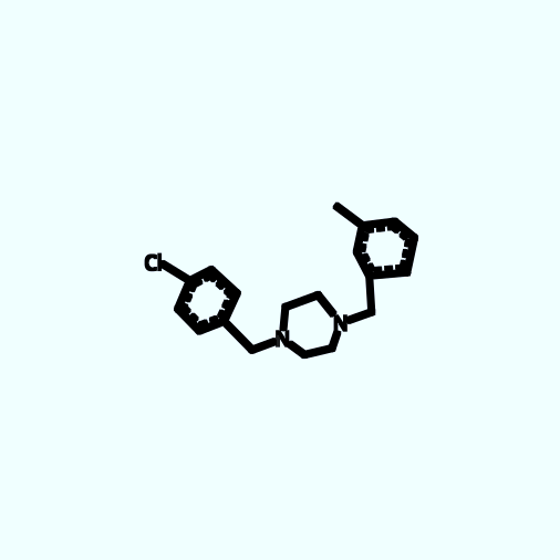 Cc1cccc(CN2CCN(Cc3ccc(Cl)cc3)CC2)c1